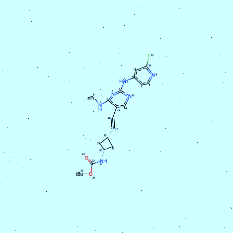 CCCNc1nc(Nc2ccnc(F)c2)ncc1C#C[C@H]1C[C@@H](NC(=O)OC(C)(C)C)C1